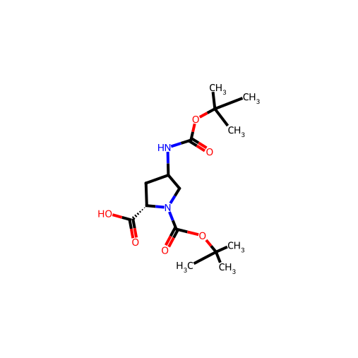 CC(C)(C)OC(=O)NC1C[C@@H](C(=O)O)N(C(=O)OC(C)(C)C)C1